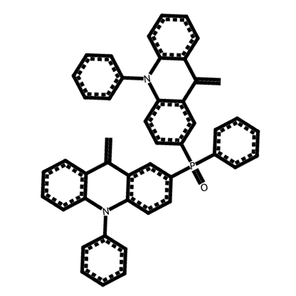 C=C1c2ccccc2N(c2ccccc2)c2ccc(P(=O)(c3ccccc3)c3ccc4c(c3)C(=C)c3ccccc3N4c3ccccc3)cc21